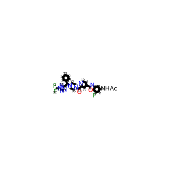 CC(=O)Nc1cc(F)c2oc(-c3ccnc(C(=O)N4CCN(C(c5ccccc5)c5nnn(C(F)F)n5)CC4)c3)nc2c1